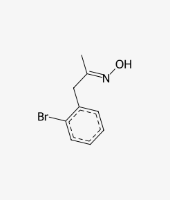 CC(Cc1ccccc1Br)=NO